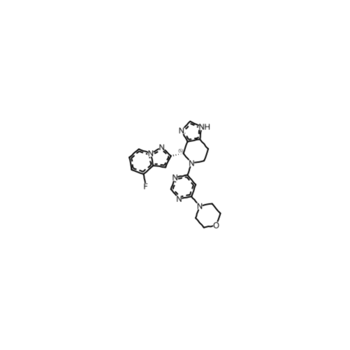 Fc1cccn2nc([C@@H]3c4nc[nH]c4CCN3c3cc(N4CCOCC4)ncn3)cc12